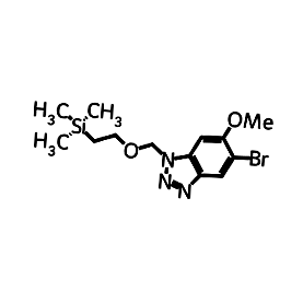 COc1cc2c(cc1Br)nnn2COCC[Si](C)(C)C